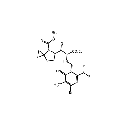 CCOC(=O)C(N/C=C1\C(=N)C(C)=C(Br)C=C1C(F)F)C(=O)[C@H]1CCC2(CC2)N1C(=O)OC(C)(C)C